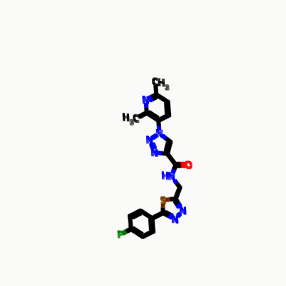 Cc1ccc(-n2cc(C(=O)NCc3nnc(-c4ccc(F)cc4)s3)nn2)c(C)n1